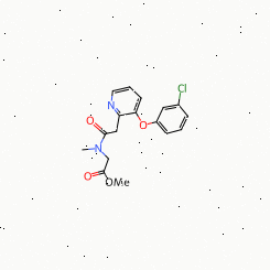 COC(=O)CN(C)C(=O)Cc1ncccc1Oc1cccc(Cl)c1